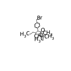 CCCC(C)C(C(=O)OC(C)(C)C)c1ccc(CBr)cc1